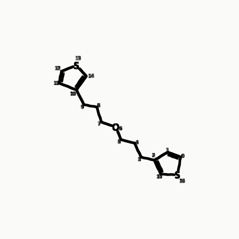 c1cc(CCCOCCCc2ccsc2)cs1